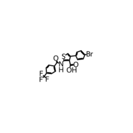 O=C(Nc1scc(-c2ccc(Br)cc2)c1C(=O)O)c1ccc(C(F)(F)F)cc1